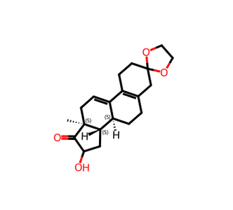 C[C@]12CC=C3C4=C(CC[C@H]3[C@@H]1CC(O)C2=O)CC1(CC4)OCCO1